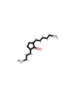 CCCCCCC1CCC(CCCC)C1O